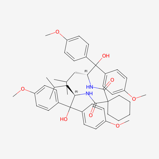 COc1ccc(C(O)(c2ccc(OC)cc2)[C@@H](CC(C)C)NC(=O)C2(C(=O)N[C@H](CC(C)C)C(O)(c3ccc(OC)cc3)c3ccc(OC)cc3)CCCCC2)cc1